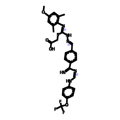 COc1cc(C)c(/N=C(/N/N=C/c2ccc(C(=N)/N=C\Nc3ccc(OC(F)(F)F)cc3)cc2)SCC(=O)O)c(C)c1